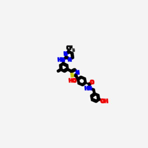 Cc1cc(Nc2nccc(C(F)(F)F)n2)cc(-c2cnc([C@]3(O)CC[C@H](C(=O)NCc4cccc(O)c4)CC3)s2)c1